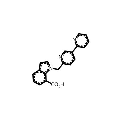 O=C(O)c1cccc2ccn(Cc3ccc(-c4ccccn4)cn3)c12